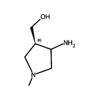 CN1CC(N)[C@H](CO)C1